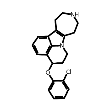 Clc1ccccc1OC1CCn2c3c(c4cccc1c42)CCNCC3